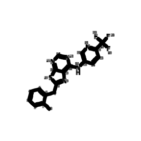 Cc1ccccc1Cc1nc2c(Nc3ccc(C(F)(F)F)nc3)ncnc2s1